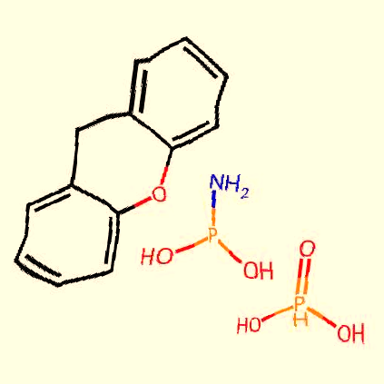 NP(O)O.O=[PH](O)O.c1ccc2c(c1)Cc1ccccc1O2